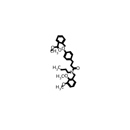 CCCCN(Cc1cccc(OC)c1OC)C(=O)CCc1ccc(OCc2ccccc2C(=O)OC)cc1